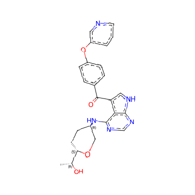 C[C@@H](O)[C@@H]1CC[C@@H](Nc2ncnc3[nH]cc(C(=O)c4ccc(Oc5cccnc5)cc4)c23)CO1